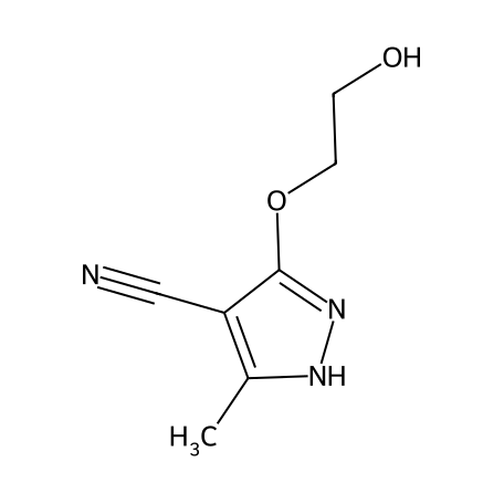 Cc1[nH]nc(OCCO)c1C#N